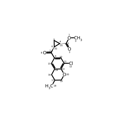 COC(=O)[C@H]1C[C@@H]1C(=O)c1cc(Cl)c2c(c1)CC(C)CO2